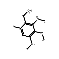 COc1cc(C)c(CO)c(OC)c1OC